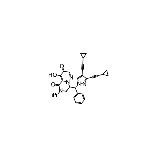 CC(C)N1C[C@H]([C@@H](c2ccccc2)n2cc(C#CC3CC3)c(C#CC3CC3)n2)n2ncc(=O)c(O)c2C1=O